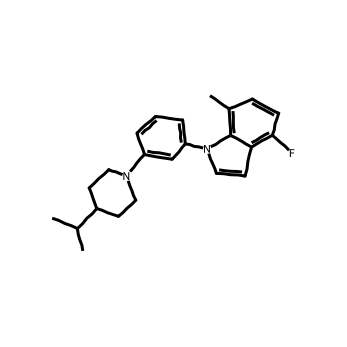 Cc1ccc(F)c2ccn(-c3cccc(N4CCC(C(C)C)CC4)c3)c12